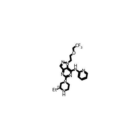 CC[C@H]1CN(c2nc(Nc3ccccn3)c3c(cnn3CCOCC(F)(F)F)n2)CCN1